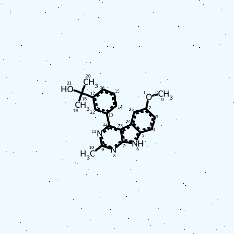 COc1ccc2[nH]c3nc(C)nc(-c4cccc(C(C)(C)O)c4)c3c2c1